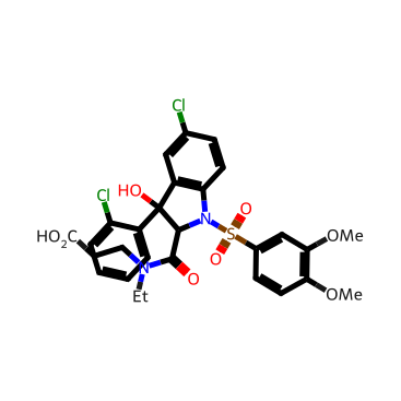 CCN(CCC(=O)O)C(=O)C1N(S(=O)(=O)c2ccc(OC)c(OC)c2)c2ccc(Cl)cc2C1(O)c1ccccc1Cl